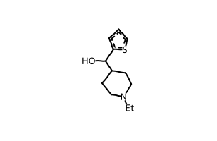 CCN1CCC(C(O)c2cccs2)CC1